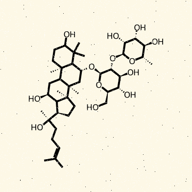 CC(C)=CCC[C@@](C)(O)[C@@H]1CC[C@@]2(C)C1[C@@H](O)CC1[C@@]3(C)CCC(O)C(C)(C)C3[C@H](O[C@@H]3O[C@H](CO)[C@@H](O)[C@H](O)[C@H]3O[C@@H]3O[C@@H](C)[C@H](O)[C@@H](O)[C@H]3O)C[C@]12C